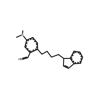 CN(C)c1ccc(CCCCC2C=Cc3ccccc32)c(C=N)c1